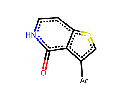 CC(=O)c1csc2cc[nH]c(=O)c12